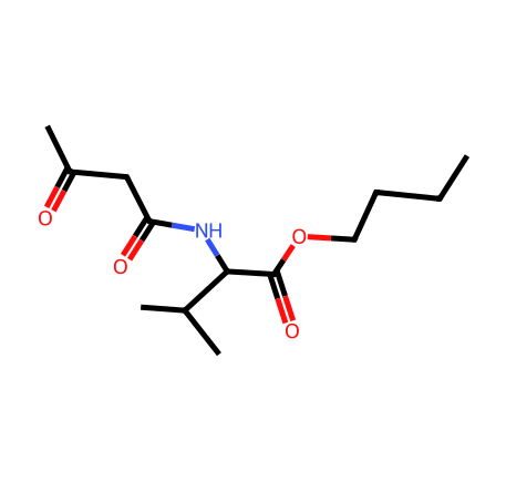 CCCCOC(=O)C(NC(=O)CC(C)=O)C(C)C